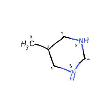 CC1CNCNC1